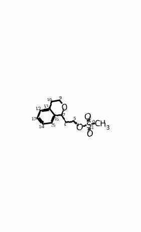 CS(=O)(=O)OCCC1OCCc2ccccc21